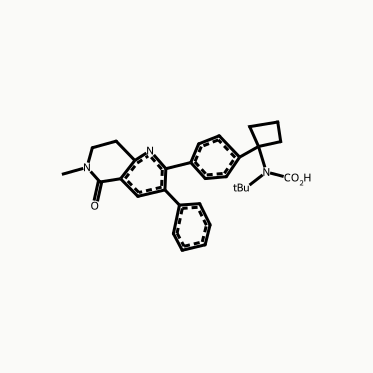 CN1CCc2nc(-c3ccc(C4(N(C(=O)O)C(C)(C)C)CCC4)cc3)c(-c3ccccc3)cc2C1=O